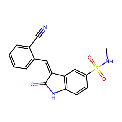 CNS(=O)(=O)c1ccc2c(c1)C(=Cc1ccccc1C#N)C(=O)N2